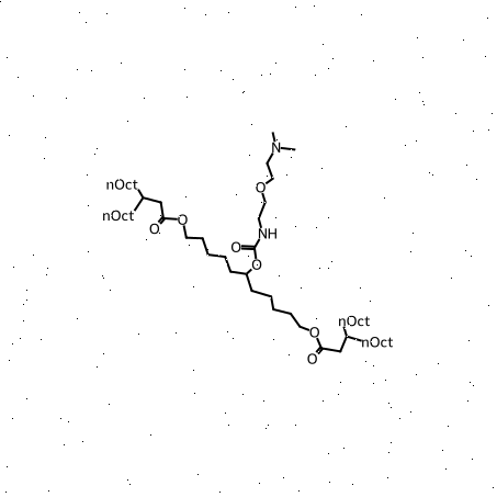 CCCCCCCCC(CCCCCCCC)CC(=O)OCCCCCC(CCCCCOC(=O)CC(CCCCCCCC)CCCCCCCC)OC(=O)NCCOCCN(C)C